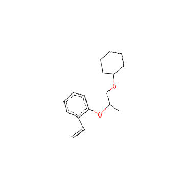 C=Cc1ccccc1OC(C)COC1CCCCC1